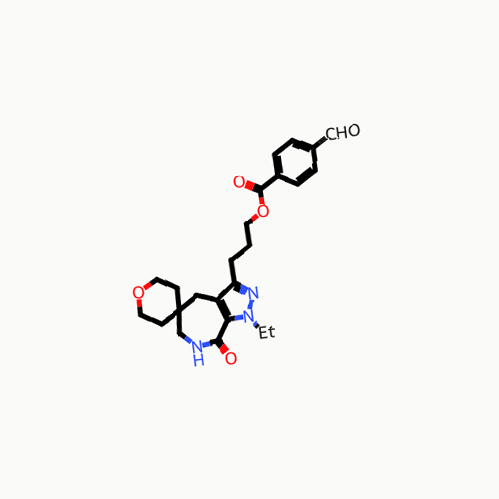 CCn1nc(CCCOC(=O)c2ccc(C=O)cc2)c2c1C(=O)NCC1(CCOCC1)C2